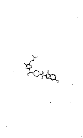 Cc1nc(C(=O)N2CCN(S(=O)(=O)c3cc4cc(Cl)ccc4[nH]3)CC2)sc1CCN(C)C